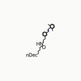 CCCCCCCCCCCCCCC(=O)NCCCc1cccc(/C=C/c2c(C)cccc2C)c1